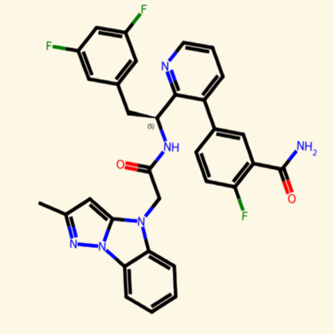 Cc1cc2n(CC(=O)N[C@@H](Cc3cc(F)cc(F)c3)c3ncccc3-c3ccc(F)c(C(N)=O)c3)c3ccccc3n2n1